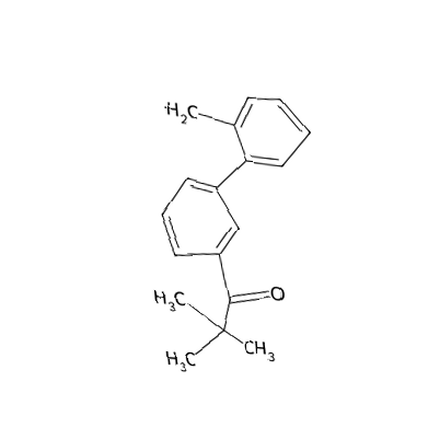 [CH2]c1ccccc1-c1cccc(C(=O)C(C)(C)C)c1